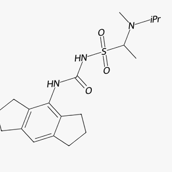 CC(C)N(C)C(C)S(=O)(=O)NC(=O)Nc1c2c(cc3c1CCC3)CCC2